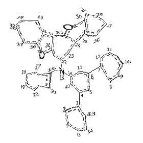 c1ccc(-c2cc(-c3ccccc3)cc(N(c3ccccc3)c3cc4c5ccccc5oc4c4c3oc3ccccc34)c2)cc1